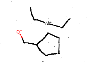 C[CH2][Al+][CH2]C.[O-]CC1CCCC1